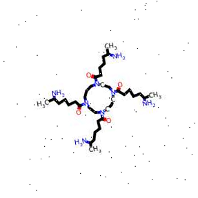 CC(N)CCCCC(=O)N1CCCN(C(=O)CCCCC(C)N)CCN(C(=O)CCCCC(C)N)CCCN(C(=O)CCCCC(C)N)CC1